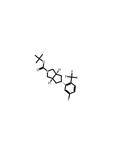 CC(C)(C)OC(=O)N1C[C@H]2C[C@@H](c3cc(F)ccc3C(F)(F)F)C[C@H]2C1